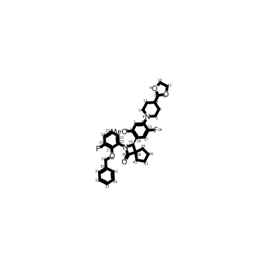 COc1cc(N2CCC(C3OCCO3)CC2)c(F)cc1[C@@H]1N(c2cccc(F)c2OCc2ccccc2)C(=O)C12CCCC2